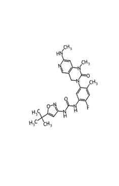 CNc1cc2c(cn1)CN(c1cc(NC(=O)Nc3cc(C(C)(C)C)on3)c(F)cc1C)C(=O)N2C